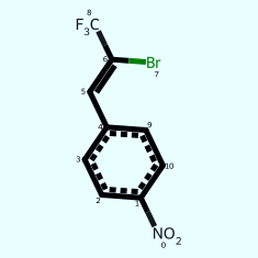 O=[N+]([O-])c1ccc(C=C(Br)C(F)(F)F)cc1